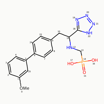 COc1cccc(-c2ccc(CC(NCP(=O)(O)O)c3nnn[nH]3)cc2)c1